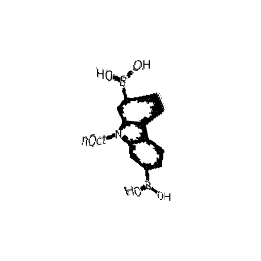 CCCCCCCCn1c2cc(B(O)O)ccc2c2ccc(B(O)O)cc21